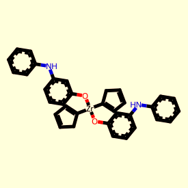 C1=CC[C]([Zr]([O]c2cccc(Nc3ccccc3)c2)([O]c2cccc(Nc3ccccc3)c2)[C]2=CC=CC2)=C1